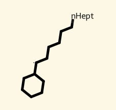 CCCCCCCCCCCC[CH]C1CCCCC1